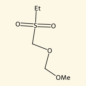 CCS(=O)(=O)COCOC